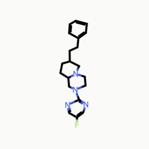 Fc1cnc(N2CCN3CC(CCc4ccccc4)CCC3C2)nc1